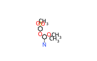 CC(C)Oc1cc(C#N)cc(Oc2ccc(S(C)(=O)=O)cc2)c1